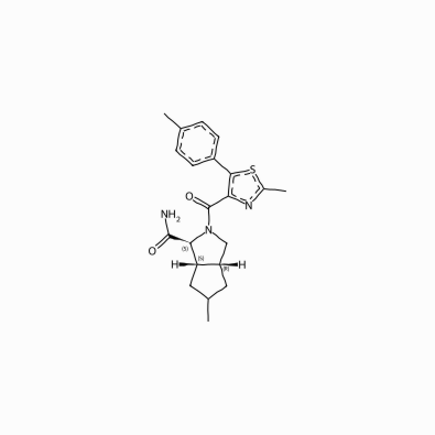 Cc1ccc(-c2sc(C)nc2C(=O)N2C[C@@H]3CC(C)C[C@@H]3[C@H]2C(N)=O)cc1